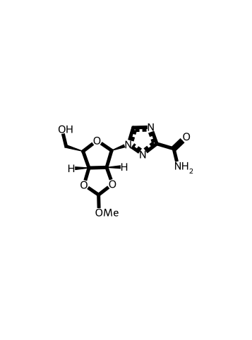 COC1O[C@@H]2[C@H](O1)[C@@H](CO)O[C@H]2n1cnc(C(N)=O)n1